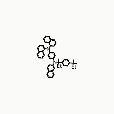 CCC(C)(C)c1ccc(C(C)(CC)N(c2ccc(N(c3cccc4ccccc34)c3cccc4ccccc34)cc2)c2ccc3ccccc3c2)cc1